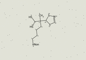 CCCCCCCCCCCCCC(C)(C(S)S)C1SC=NS1